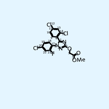 COC(=O)COc1nc(-c2ccc(Cl)cc2Cl)n(-c2ccc(Cl)cc2F)n1